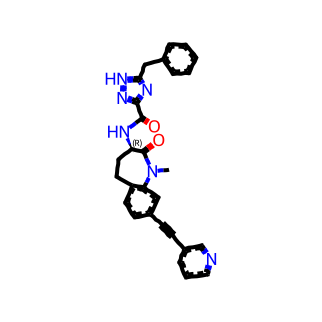 CN1C(=O)[C@H](NC(=O)c2n[nH]c(Cc3ccccc3)n2)CCc2ccc(C#Cc3cccnc3)cc21